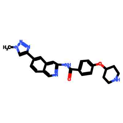 Cn1cc(-c2ccc3cnc(NC(=O)c4ccc(OC5CCNCC5)cc4)cc3c2)nn1